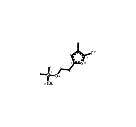 Cc1cc(CCO[Si](C)(C)C(C)(C)C)sc1F